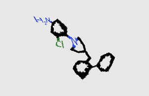 Nc1ccc(N2CCC(Cc3ccccc3-c3ccccc3)CC2)c(Cl)c1